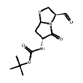 CC(C)(C)OC(=O)N[C@@H]1CC2SC[C@@H](C=O)N2C1=O